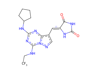 O=C1NC(=O)/C(=C/c2cnn3c(NCC(F)(F)F)nc(NC4CCCC4)nc23)N1